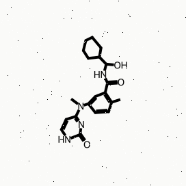 Cc1ccc(N(C)c2cc[nH]c(=O)n2)cc1C(=O)NC(O)C1CCCCC1